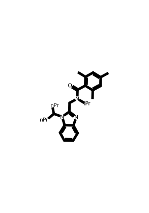 CCCC(CCC)n1c(CN(C(=O)c2c(C)cc(C)cc2C)C(C)C)nc2ccccc21